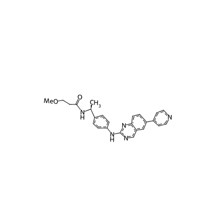 COCCC(=O)N[C@@H](C)c1ccc(Nc2ncc3cc(-c4ccncc4)ccc3n2)cc1